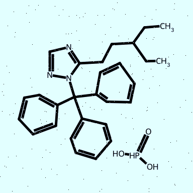 CCC(CC)CCc1ncnn1C(c1ccccc1)(c1ccccc1)c1ccccc1.O=[PH](O)O